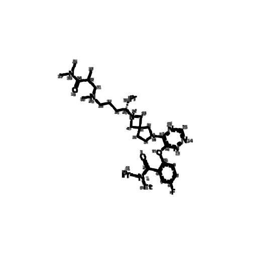 CCN(C(=O)c1cc(F)ccc1Oc1nncnc1N1CCC2(C1)CN([C@H](CCCN(C)CC(C)C(=O)N(C)C)C(C)C)C2)C(C)C